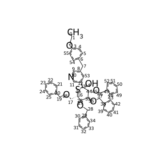 CCOc1ccc(Cc2cncc([C@]3(O)S[C@@H](COCc4ccccc4)[C@@H](OCc4ccccc4)[C@H](OCc4ccccc4)[C@H]3OCc3ccccc3)c2)cc1